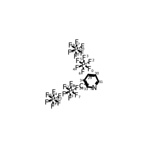 F[P-](F)(F)(F)(F)F.F[P-](F)(F)(F)(F)F.F[P-](F)(F)(F)(F)F.F[P-](F)(F)(F)(F)F.[C+4].c1ccncc1